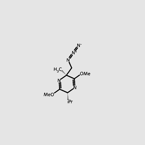 COC1=N[C@@](C)(CN=[N+]=[N-])C(OC)=N[C@@H]1C(C)C